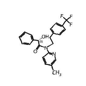 Cc1ccc(N(CCc2ccc(C(F)(F)F)cc2)C(=O)[C@@H](O)c2ccccc2)nc1